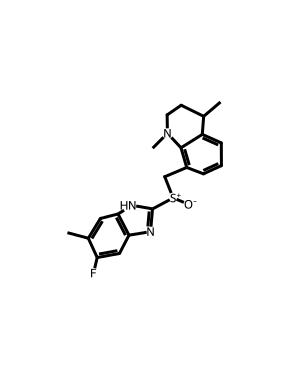 Cc1cc2[nH]c([S+]([O-])Cc3cccc4c3N(C)CCC4C)nc2cc1F